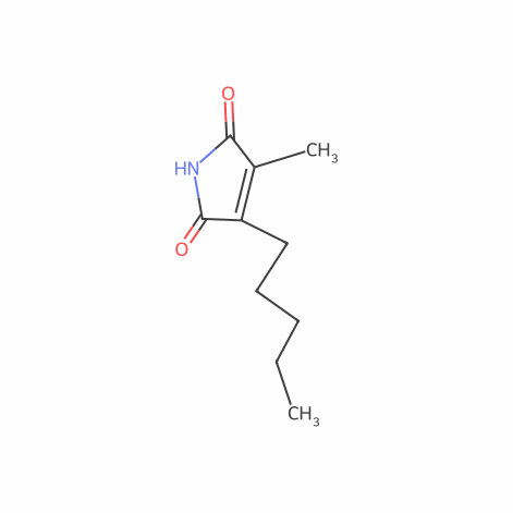 CCCCCC1=C(C)C(=O)NC1=O